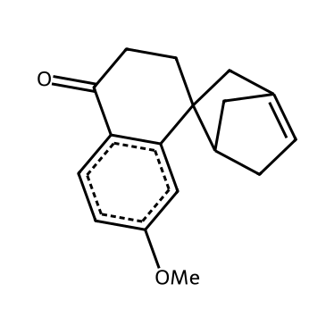 COc1ccc2c(c1)C1(CCC2=O)CC2=CCC1C2